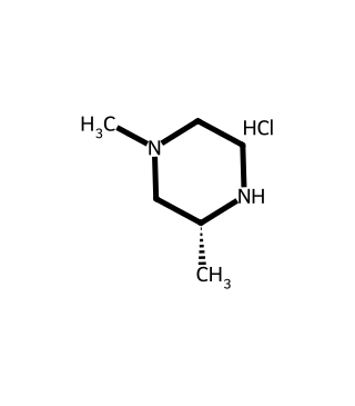 C[C@@H]1CN(C)CCN1.Cl